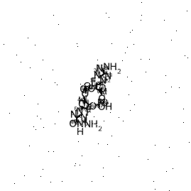 Nc1nc2c(ncn2[C@@H]2O[C@@H]3COP(=O)(O)OC4C(F)[C@H](n5cnc6c(N)ncnc65)O[C@@H]4COP(=O)(O)COC3C2F)c(=O)[nH]1